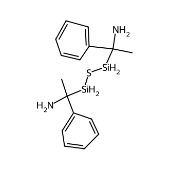 CC(N)([SiH2]S[SiH2]C(C)(N)c1ccccc1)c1ccccc1